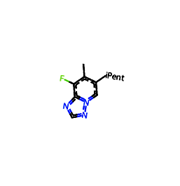 CCCC(C)c1cn2ncnc2c(F)c1C